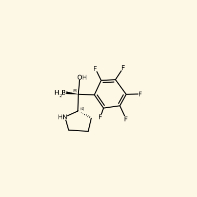 B[C@@](O)(c1c(F)c(F)c(F)c(F)c1F)[C@@H]1CCCN1